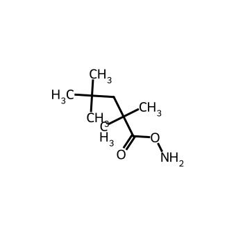 CC(C)(C)CC(C)(C)C(=O)ON